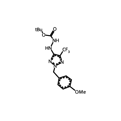 COc1ccc(Cn2nc(NNC(=O)OC(C)(C)C)c(C(F)(F)F)n2)cc1